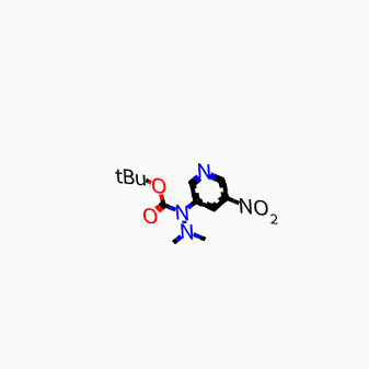 CN(C)N(C(=O)OC(C)(C)C)c1cncc([N+](=O)[O-])c1